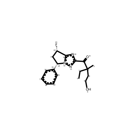 CCC(C)(CCO)C(=O)c1nc2n(n1)[C@H](c1ccccc1)C[C@@H]2F